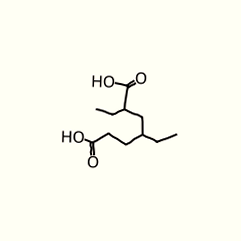 CCC(CCC(=O)O)CC(CC)C(=O)O